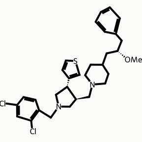 CO[C@@H](Cc1ccccc1)CC1CCN(C[C@H]2CN(Cc3ccc(Cl)cc3Cl)C[C@@H]2c2ccsc2)CC1